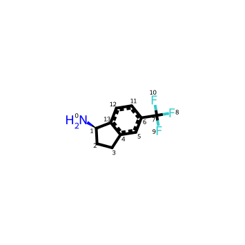 N[C@@H]1CCc2cc(C(F)(F)F)ccc21